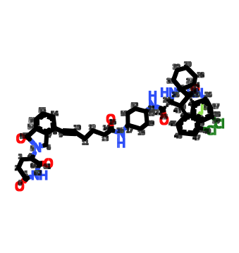 O=C1CCC(N2Cc3c(C#CCCCC(=O)NC4CCC(NC(=O)[C@@H]5NC6(CCCCC6)[C@@]6(C(=O)Nc7cc(Cl)ccc76)[C@H]5c5cccc(Cl)c5F)CC4)cccc3C2=O)C(=O)N1